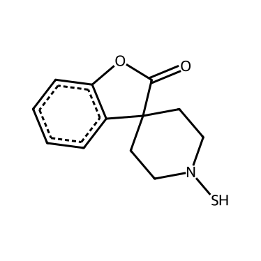 O=C1Oc2ccccc2C12CCN(S)CC2